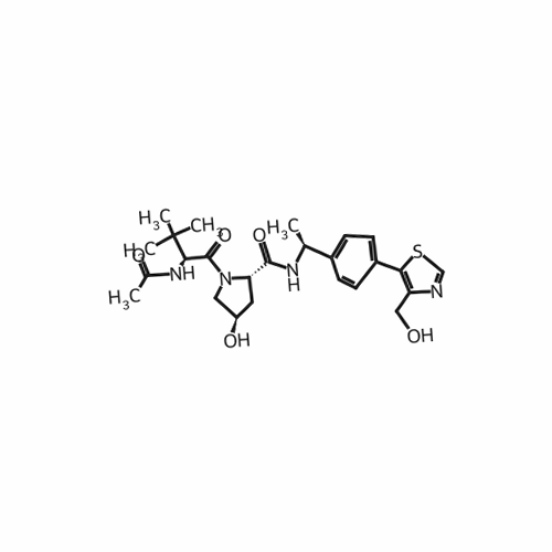 CC(=O)N[C@H](C(=O)N1C[C@H](O)C[C@H]1C(=O)N[C@@H](C)c1ccc(-c2scnc2CO)cc1)C(C)(C)C